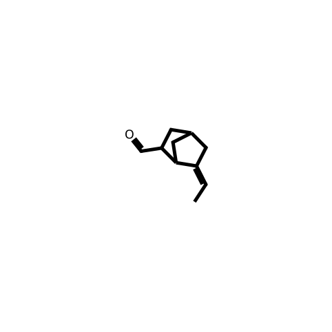 CC=C1CC2CC(C=O)C1C2